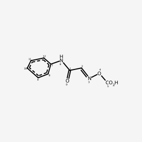 O=C(C=NOC(=O)O)Nc1ccccc1